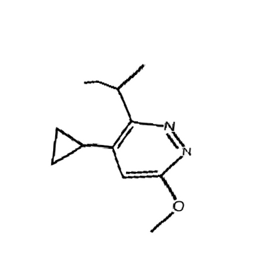 COc1cc(C2CC2)c(C(C)C)nn1